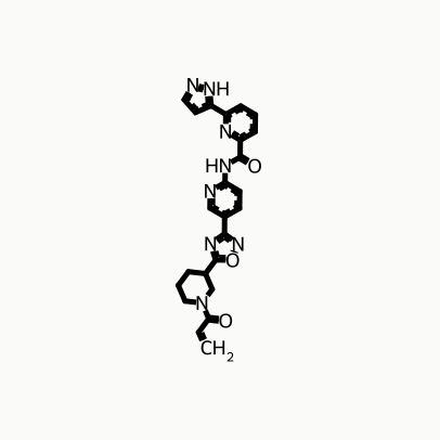 C=CC(=O)N1CCCC(c2nc(-c3ccc(NC(=O)c4cccc(-c5ccn[nH]5)n4)nc3)no2)C1